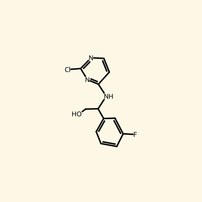 OCC(Nc1ccnc(Cl)n1)c1cccc(F)c1